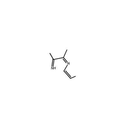 C/C=C\N=C(\C)C(C)=N